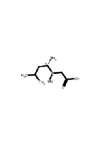 CC(C)C[C@H](N)N(O)CC(=O)O